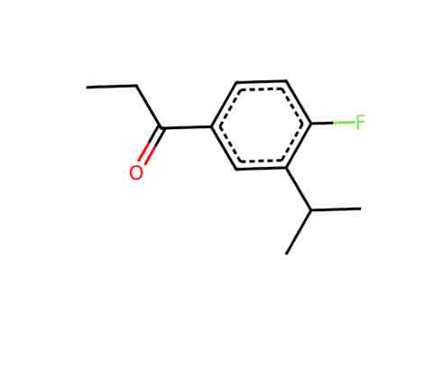 CCC(=O)c1ccc(F)c(C(C)C)c1